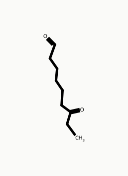 CCC(=O)CCCCCC=O